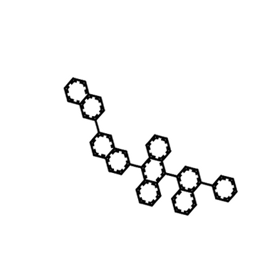 c1ccc(-c2ccc(-c3c4ccccc4c(-c4ccc5ccc(-c6ccc7ccccc7c6)cc5c4)c4ccccc34)c3ccccc23)cc1